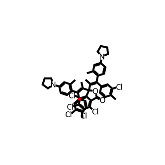 C/C(=C(/c1ccc(C)c(Cl)c1)c1ccc(N2CCCC2)cc1C)C1(/C(C)=C(\c2ccc(C)c(Cl)c2)c2ccc(N3CCCC3)cc2C)OC(=O)c2c(Cl)c(Cl)c(Cl)c(Cl)c21